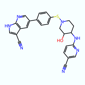 N#Cc1ccc(NC2CCN(Sc3ccc(-c4cnc5[nH]cc(C#N)c5c4)cc3)CC2O)nc1